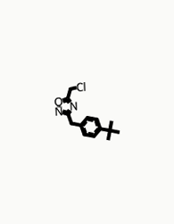 CC(C)(C)c1ccc(Cc2noc(CCl)n2)cc1